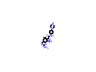 CN1CCN(c2ccc(NC(=O)c3n[nH]c4c3C(C)(C)Cc3cnc(N)nc3-4)cc2)CC1